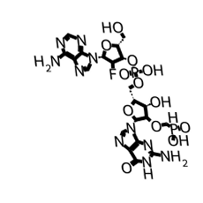 Nc1nc2c(ncn2[C@@H]2O[C@H](COP(=O)(O)O[C@@H]3C(F)[C@H](n4cnc5c(N)ncnc54)O[C@@H]3CO)[C@H](O)C2OC[PH](=O)O)c(=O)[nH]1